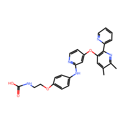 Cc1cc(Oc2ccnc(Nc3ccc(OCCNC(=O)O)cc3)c2)c(-c2ccccn2)nc1C